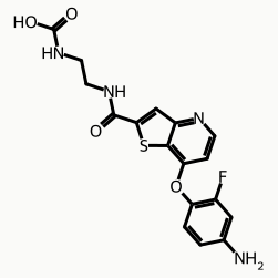 Nc1ccc(Oc2ccnc3cc(C(=O)NCCNC(=O)O)sc23)c(F)c1